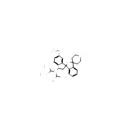 CC(C)N(CCC1(c2ccccc2)OC2(CCN(C)CC2)c2ccccc21)C(C)C.Cl.Cl